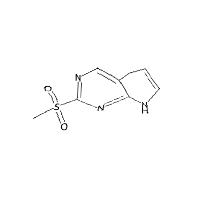 CS(=O)(=O)c1ncc2cc[nH]c2n1